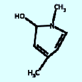 CC1=CC(O)N(C)C=C1